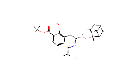 COc1c(CC(NC(=O)C(C)C)B2OC3CC4CC(C4(C)C)C3(C)O2)cccc1C(=O)OC(C)(C)C